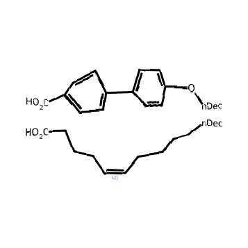 CCCCCCCCCCCCCC/C=C\CCCC(=O)O.CCCCCCCCCCOc1ccc(-c2ccc(C(=O)O)cc2)cc1